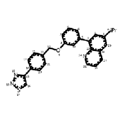 CC(C)c1cc(-c2cccc(OCc3ccc(-c4csnn4)cc3)c2)c2ncccc2c1